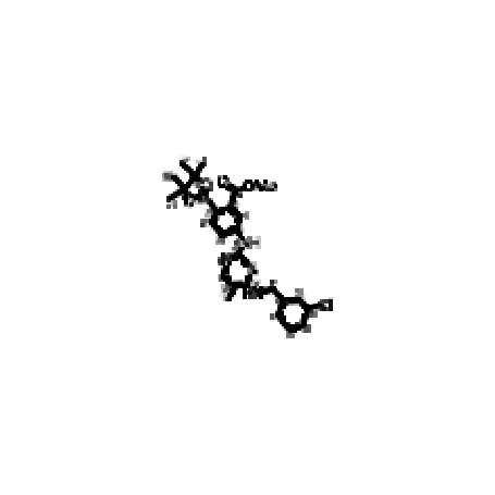 COC(=O)c1cc(Nc2ncc(C)c(NCc3cccc(Cl)c3)n2)ccc1B1OC(C)(C)C(C)(C)O1